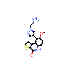 COc1ccc2[nH]c(=O)c3sccc3c2c1-c1cnn(CCN)c1